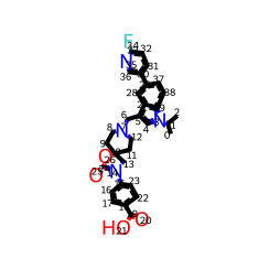 CC(C)n1cc(CN2CCC3(CC2)CN(c2ccc(C(=O)O)cc2)C(=O)O3)c2cc(-c3ccc(F)nc3)ccc21